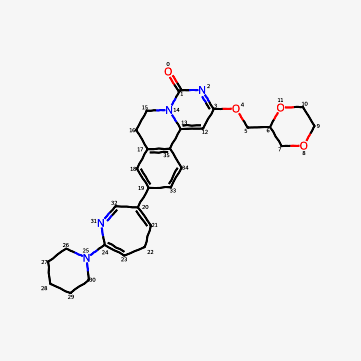 O=c1nc(OCC2COCCO2)cc2n1CCc1cc(C3=CCC=C(N4CCCCC4)N=C3)ccc1-2